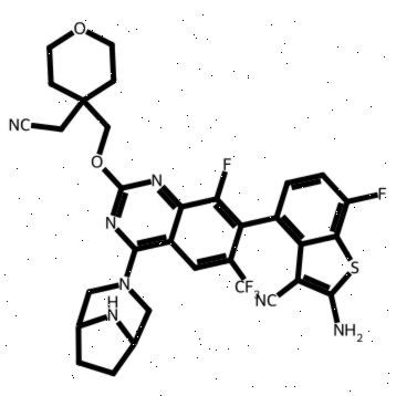 N#CCC1(COc2nc(N3CC4CCC(C3)N4)c3cc(C(F)(F)F)c(-c4ccc(F)c5sc(N)c(C#N)c45)c(F)c3n2)CCOCC1